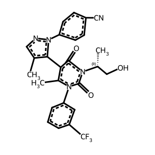 Cc1cnn(-c2ccc(C#N)cc2)c1-c1c(C)n(-c2cccc(C(F)(F)F)c2)c(=O)n([C@H](C)CO)c1=O